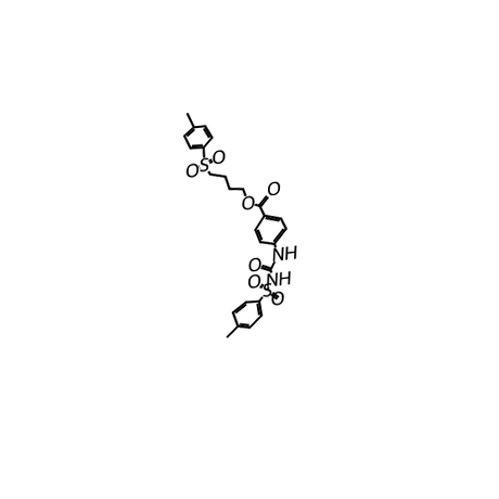 Cc1ccc(S(=O)(=O)CCCCOC(=O)c2ccc(NC(=O)NS(=O)(=O)c3ccc(C)cc3)cc2)cc1